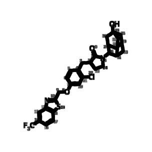 O=C1C(Cc2ccc(OCc3nc4cc(C(F)(F)F)ccc4s3)cc2Cl)CCN1C1C2CC3CC1CC(O)(C3)C2